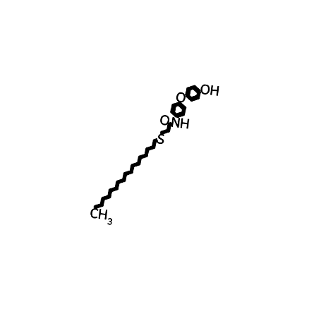 CCCCCCCCCCCCCCCCCCSCCC(=O)Nc1ccc(Oc2ccc(O)cc2)cc1